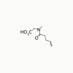 C=CCCC(=O)N(C)CC(=O)O